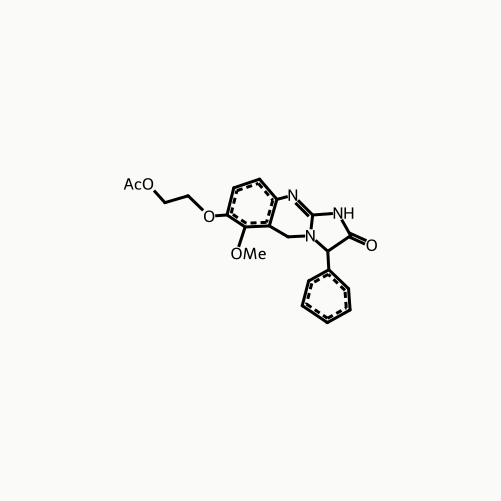 COc1c(OCCOC(C)=O)ccc2c1CN1C(=N2)NC(=O)C1c1ccccc1